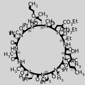 C=CCOC(C)(C)C[C@H]1C(=O)N[C@@H](C(C)C)C(=O)N(C)[C@@H](CC(C)C)C(=O)N[C@@H](C)C(=O)N[C@H](C)C(=O)N(C)[C@@H](CC(C)C)C(=O)N(C)[C@@H](CC(C)C)C(=O)N(C)[C@@H](C(C)C)C(=O)N(C)[C@@H]([C@H](O)[C@H](C)C/C=C/C)C(=O)N[C@@H](CC)C(=O)N(C)C(CC(C(=O)OCC)C(=O)OCC)C(=O)N1C